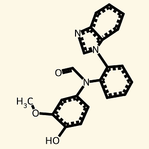 COc1cc(N(C=O)c2ccccc2-n2cnc3ccccc32)ccc1O